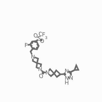 O=C(N1CC2(CC(c3nc(C4CC4)n[nH]3)C2)C1)N1CC2(CN(Cc3ccc(S(=O)(=O)C(F)(F)F)cc3F)C2)C1